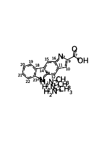 CN.CN.CN.O=C(O)C1=Cc2cc3c(cc2=N1)-c1ccccc1N=3